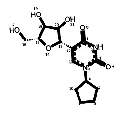 O=c1[nH]c(=O)n(C2CCCC2)cc1[C@@H]1O[C@H](CO)C(O)C1O